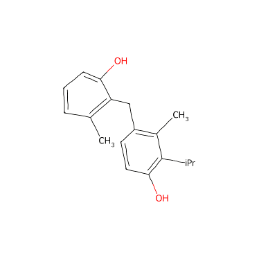 Cc1cccc(O)c1Cc1ccc(O)c(C(C)C)c1C